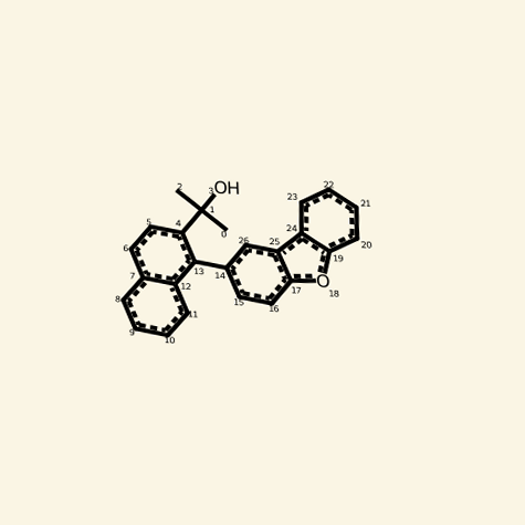 CC(C)(O)c1ccc2ccccc2c1-c1ccc2oc3ccccc3c2c1